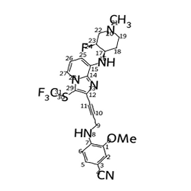 COc1cc(C#N)ccc1NCC#Cc1nc2c(N[C@@H]3CCN(C)C[C@@H]3F)cccn2c1SC(F)(F)F